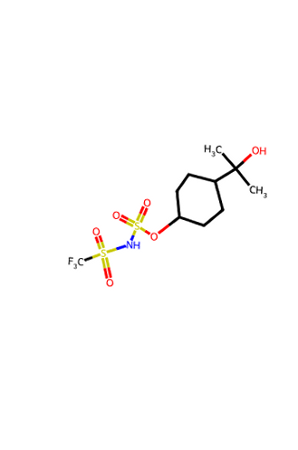 CC(C)(O)C1CCC(OS(=O)(=O)NS(=O)(=O)C(F)(F)F)CC1